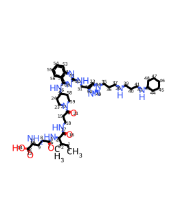 CCC(C)C(NC(=O)CC[C@@H](N)C(=O)O)C(=O)NCCC(=O)N1CCC(Nc2nc(NCc3cn(CCCNCCCNC4CCCCC4)nn3)nc3ccccc23)CC1